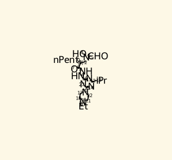 CCCCC[C@H](CN(O)C=O)C(=O)NNc1nc(C(C)C)nc(N2CCN(CC)CC2)n1